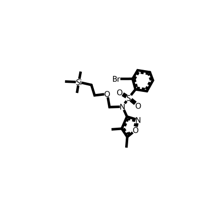 Cc1onc(N(COCC[Si](C)(C)C)S(=O)(=O)c2ccccc2Br)c1C